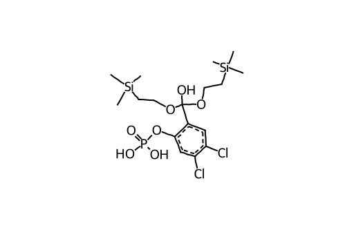 C[Si](C)(C)CCOC(O)(OCC[Si](C)(C)C)c1cc(Cl)c(Cl)cc1OP(=O)(O)O